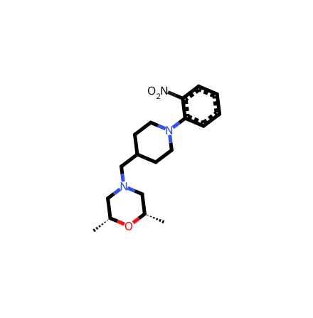 C[C@@H]1CN(CC2CCN(c3ccccc3[N+](=O)[O-])CC2)C[C@H](C)O1